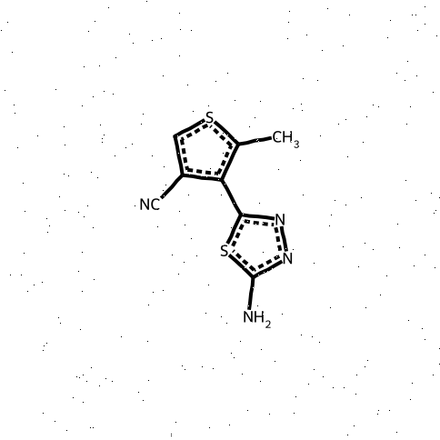 Cc1scc(C#N)c1-c1nnc(N)s1